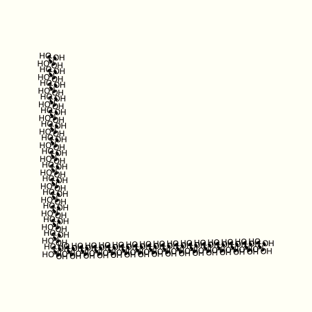 O[Si](O)(O)O.O[Si](O)(O)O.O[Si](O)(O)O.O[Si](O)(O)O.O[Si](O)(O)O.O[Si](O)(O)O.O[Si](O)(O)O.O[Si](O)(O)O.O[Si](O)(O)O.O[Si](O)(O)O.O[Si](O)(O)O.O[Si](O)(O)O.O[Si](O)(O)O.O[Si](O)(O)O.O[Si](O)(O)O.O[Si](O)(O)O.O[Si](O)(O)O.O[Si](O)(O)O.O[Si](O)(O)O.O[Si](O)(O)O.O[Si](O)(O)O.O[Si](O)(O)O.O[Si](O)(O)O.O[Si](O)(O)O.O[Si](O)(O)O.O[Si](O)(O)O.O[Si](O)(O)O.O[Si](O)(O)O.O[Si](O)(O)O.O[Si](O)(O)O